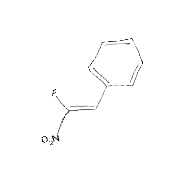 O=[N+]([O-])C(F)=Cc1ccccc1